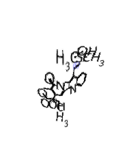 CC[C@@]1(O)C(=O)OCc2c1cc1n(c2=O)Cc2c-1nc1ccccc1c2/C=C/[Si](C)(C)O